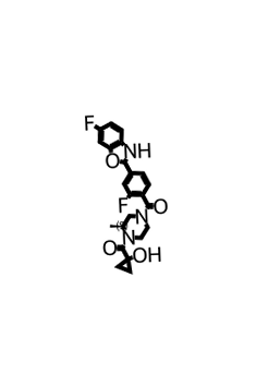 C[C@H]1CN(C(=O)c2ccc(C3Nc4ccc(F)cc4O3)cc2F)CCN1C(=O)C1(O)CC1